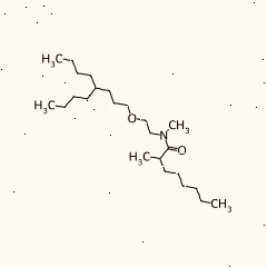 CCCCCCC(C)C(=O)N(C)CCOCCCC(CCCC)CCCC